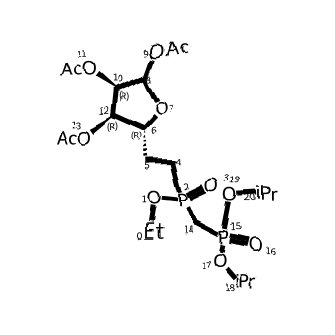 CCOP(=O)(CC[C@H]1OC(OC(C)=O)[C@H](OC(C)=O)[C@@H]1OC(C)=O)CP(=O)(OC(C)C)OC(C)C